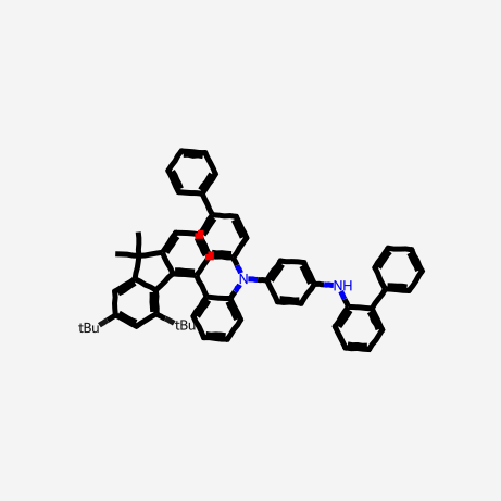 CC(C)(C)c1cc(C(C)(C)C)c2c(c1)C(C)(C)c1cccc(-c3ccccc3N(c3ccc(Nc4ccccc4-c4ccccc4)cc3)c3ccc(-c4ccccc4)cc3)c1-2